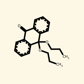 CCCOC1(OCCC)c2ccccc2C(=O)c2ccccc21